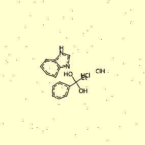 CCC(O)(O)c1ccccc1.Cl.Cl.c1ccc2[nH]cnc2c1